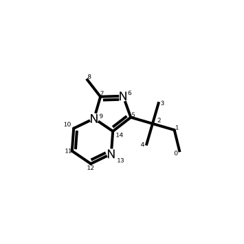 CCC(C)(C)c1nc(C)n2cccnc12